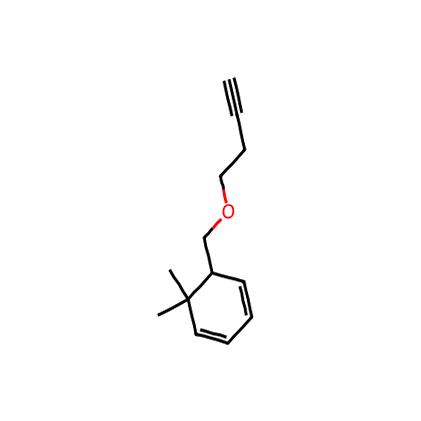 C#CCCOCC1C=CC=CC1(C)C